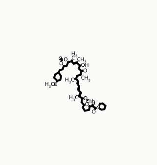 COC1CCC(CCC(CC(=O)C(C)/C=C(\C)C(O)CC(=O)C(C)CC(C)/C=C/C=C/C=C(\C)C(CC2CCCC(C(=O)C(=O)N3CCCCC3)O2)OC)OC=O)CC1